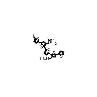 NCc1cc(-c2cccs2)sc1-c1ccc(-c2sc(-c3ccc(I)s3)cc2CN)s1